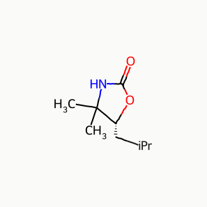 CC(C)C[C@H]1OC(=O)NC1(C)C